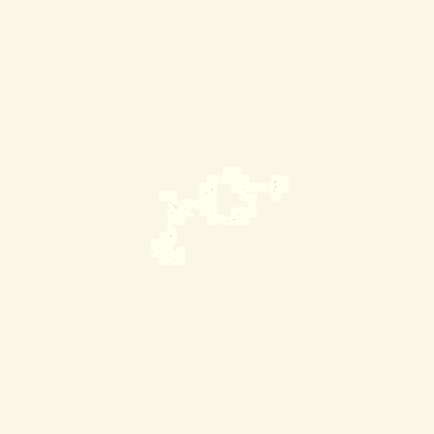 CC(c1ccc(F)cc1)C1CC1